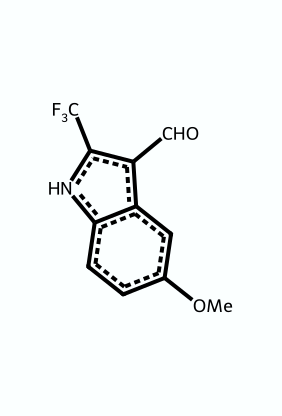 COc1ccc2[nH]c(C(F)(F)F)c(C=O)c2c1